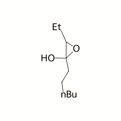 CCCCCCC1(O)OC1CC